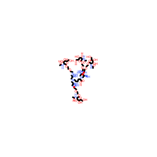 CC(=O)NC1C(OCCOCCN/C=C(/CN(CC2=CN(CCOCCOC3OC(CO)C(O)C(O)C3NC(C)=O)NN2)C(CCCCN(CC2=CN(CCOCCOC3OC(CO)C(O)C(O)C3NC(C)=O)NN2)CC2=CN(CCOCCOC3OC(CO)C(O)C(O)C3NC(C)=O)NN2)C(=O)O)N=N)OC(CO)C(O)C1O